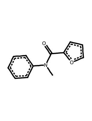 CN(C(=O)c1ccco1)c1ccccc1